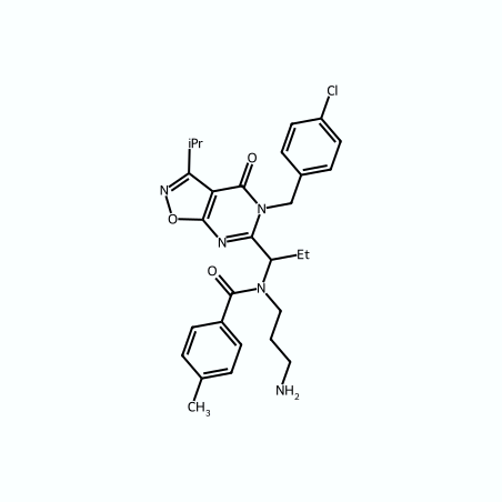 CCC(c1nc2onc(C(C)C)c2c(=O)n1Cc1ccc(Cl)cc1)N(CCCN)C(=O)c1ccc(C)cc1